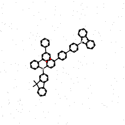 CC1(C)c2ccccc2-c2ccc(N(c3ccc(-c4ccc(-c5ccc(-n6c7ccccc7c7ccccc76)cc5)cc4)cc3)c3ccccc3-c3cccc(-c4ccccc4)c3)cc21